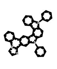 c1ccc(-n2c3ccccc3c3c4c5cc6c7ccccc7n7ccnc7c6cc5n(-c5ccccc5)c4ccc32)cc1